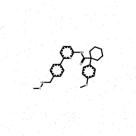 COc1ccc(C2(C(=O)Nc3cccc(-c4ccc(CNSC)cc4)n3)CCCCC2)cc1